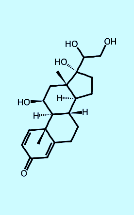 C[C@]12C=CC(=O)C=C1CC[C@@H]1[C@@H]2[C@@H](O)C[C@@]2(C)[C@H]1CC[C@]2(O)C(O)CO